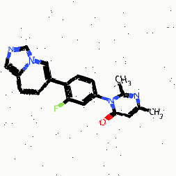 Cc1cc(=O)n(-c2ccc(-c3ccc4cncn4c3)c(F)c2)c(C)n1